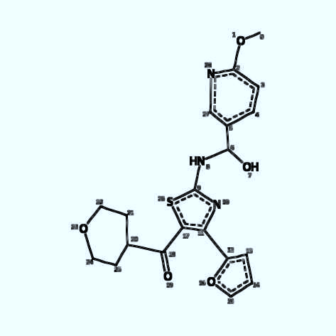 COc1ccc(C(O)Nc2nc(-c3ccco3)c(C(=O)C3CCOCC3)s2)cn1